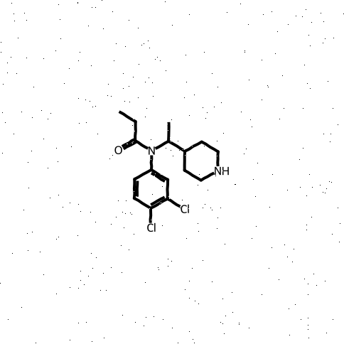 CCC(=O)N(c1ccc(Cl)c(Cl)c1)C(C)C1CCNCC1